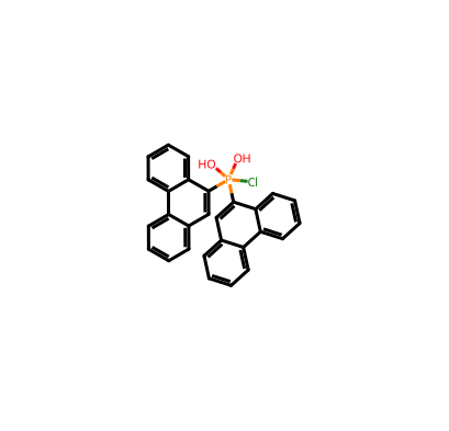 OP(O)(Cl)(c1cc2ccccc2c2ccccc12)c1cc2ccccc2c2ccccc12